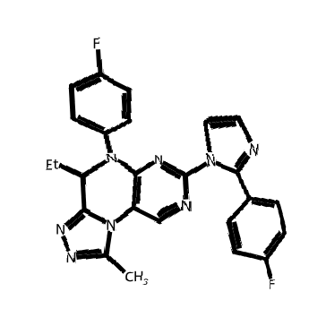 CCC1c2nnc(C)n2-c2cnc(-n3ccnc3-c3ccc(F)cc3)nc2N1c1ccc(F)cc1